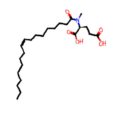 CCCCCCCC/C=C\CCCCCCCC(=O)N(C)[C@@H](CCC(=O)O)C(=O)O